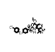 CCOC(=O)c1cnc2c(c(C)nn2C)c1NCS(=O)(=O)c1ccc(Oc2ccc(Cl)cc2)cc1